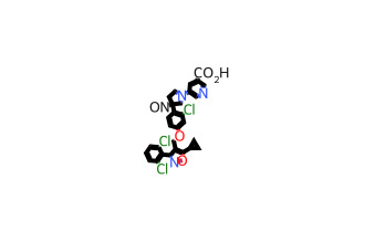 O=NC1(c2ccc(OCc3c(-c4c(Cl)cccc4Cl)noc3C3CC3)cc2Cl)CCN(c2cncc(C(=O)O)c2)C1